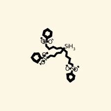 CO[Si](CCCCCC([SiH3])(CCCCC[Si](OC)(OC)c1ccccc1)CCCCC[Si](OC)(OC)c1ccccc1)(OC)c1ccccc1